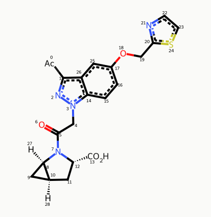 CC(=O)c1nn(CC(=O)N2[C@@H]3C[C@@H]3C[C@H]2C(=O)O)c2ccc(OCc3nccs3)cc12